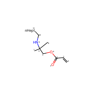 C=CC(=O)OCC(C)(C)NCCCCCCCC